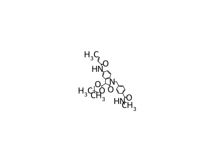 C/C=C/C(=O)Nc1ccc2c(c1)C(C1OCC(C)(C)CO1)C(=O)N2Cc1ccc(C(=O)NC)cc1